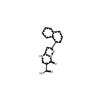 O=C(O)c1c[nH]c2cc(-c3cccc4ccccc34)nn2c1=O